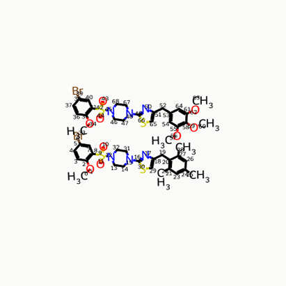 COc1ccc(Br)cc1S(=O)(=O)N1CCN(c2nc(Cc3c(C)cc(C)cc3C)cs2)CC1.COc1ccc(Br)cc1S(=O)(=O)N1CCN(c2nc(Cc3cc(OC)c(OC)c(OC)c3)cs2)CC1